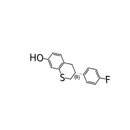 Oc1ccc2c(c1)SC[C@@H](c1ccc(F)cc1)C2